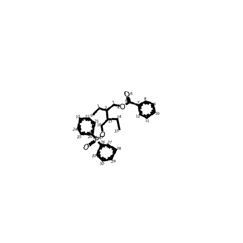 CCC(COC(=O)c1ccccc1)C(CC)COP(=O)(c1ccccc1)c1ccccc1